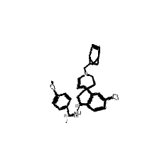 COc1ccc([C@@H](C)N[C@H]2CC3(CCN(CC4CC5C=CC4C5)CC3)c3cc(Cl)ccc32)cc1